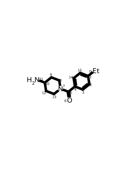 CCc1ccc(C(=O)N2CCC(N)CC2)cc1